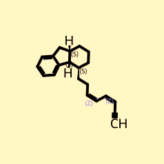 C#C/C=C\C=C/CC[C@@H]1CCC[C@H]2Cc3ccccc3[C@@H]12